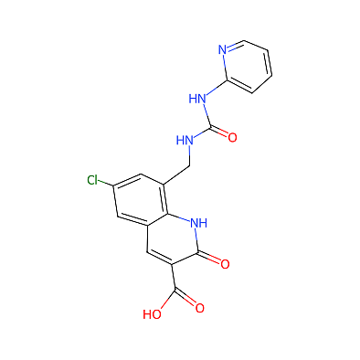 O=C(NCc1cc(Cl)cc2cc(C(=O)O)c(=O)[nH]c12)Nc1ccccn1